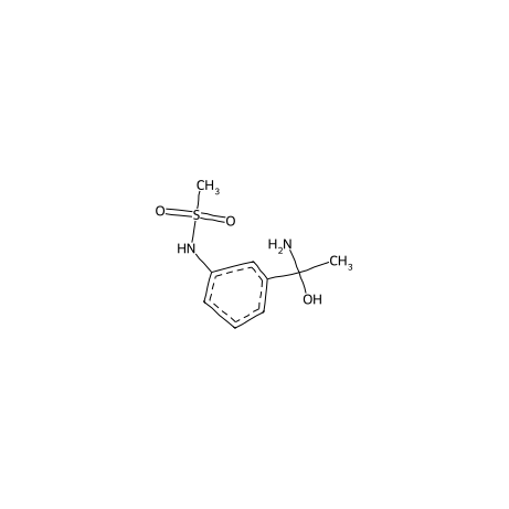 CC(N)(O)c1cccc(NS(C)(=O)=O)c1